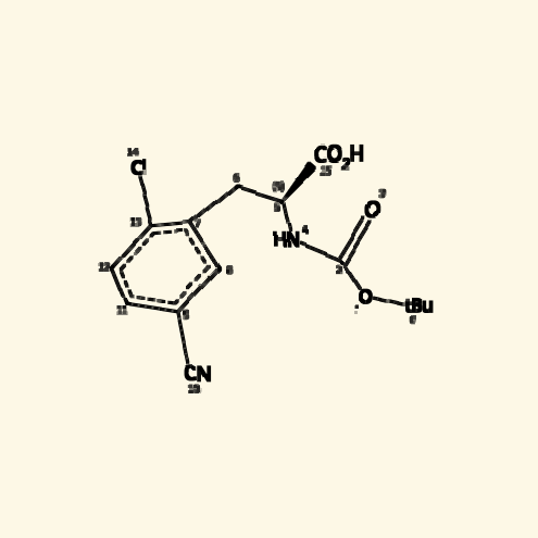 CC(C)(C)OC(=O)N[C@@H](Cc1cc(C#N)ccc1Cl)C(=O)O